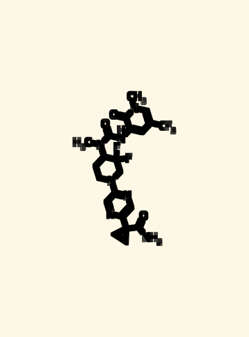 CN(C(=O)Nc1cc(C(F)(F)F)cn(C)c1=O)C1CCN(c2cnc(C3(C(N)=O)CC3)cn2)CC1(F)F